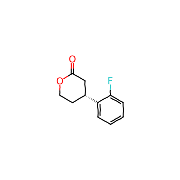 O=C1C[C@H](c2ccccc2F)CCO1